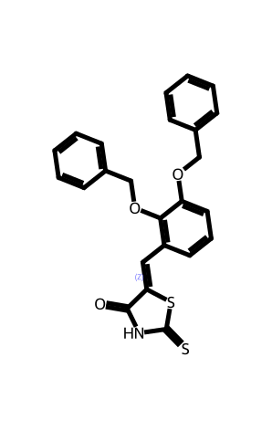 O=C1NC(=S)S/C1=C\c1cccc(OCc2ccccc2)c1OCc1ccccc1